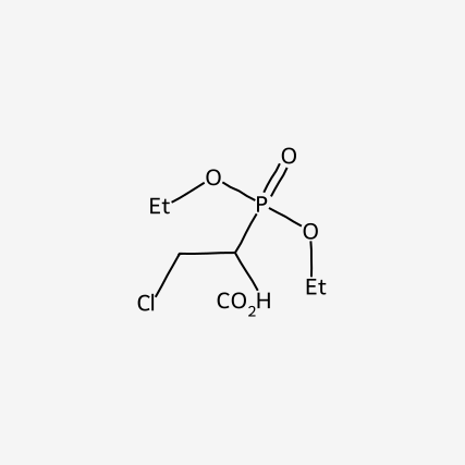 CCOP(=O)(OCC)C(CCl)C(=O)O